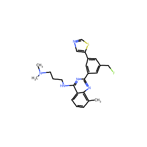 Cc1cccc2c(NCCCN(C)C)nc(-c3cc(CF)cc(-c4cncs4)c3)nc12